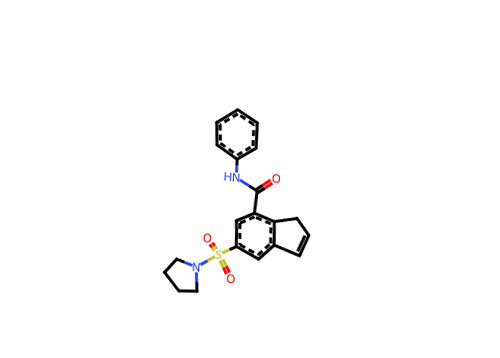 O=C(Nc1ccccc1)c1cc(S(=O)(=O)N2CCCC2)cc2c1CC=C2